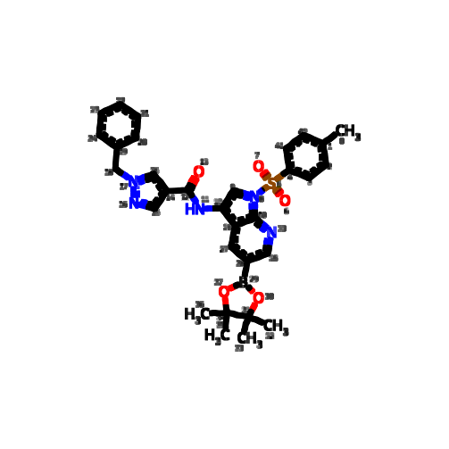 Cc1ccc(S(=O)(=O)n2cc(NC(=O)c3cnn(Cc4ccccc4)c3)c3cc(B4OC(C)(C)C(C)(C)O4)cnc32)cc1